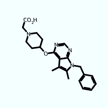 Cc1c(C)n(Cc2ccccc2)c2ncnc(OC3CCN(CC(=O)O)CC3)c12